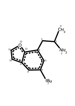 CC(N)Cc1cc(C(C)(C)C)cc2ccoc12